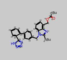 CCCCc1nc2c(COC(=O)C(C)(C)C)cccc2n1Cc1ccc(-c2ccccc2-c2nnn[nH]2)cc1